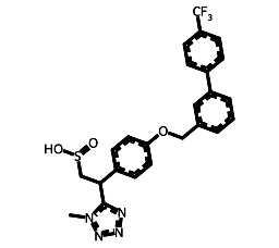 Cn1nnnc1C(CS(=O)O)c1ccc(OCc2cccc(-c3ccc(C(F)(F)F)cc3)c2)cc1